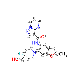 C[C@H]1Cc2cc(NC(=O)c3cnn4cccnc34)c(N3CCC(F)(CO)CC3)cc2O1